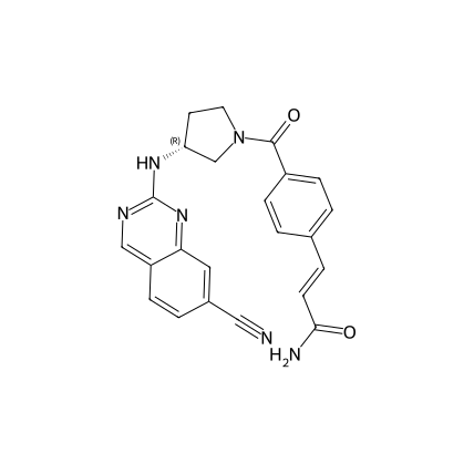 N#Cc1ccc2cnc(N[C@@H]3CCN(C(=O)c4ccc(C=CC(N)=O)cc4)C3)nc2c1